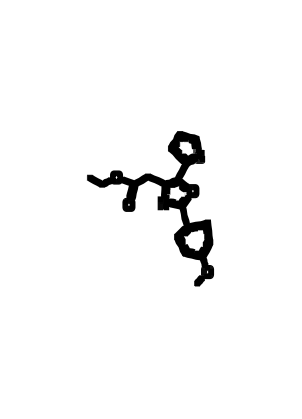 CCOC(=O)Cc1nc(-c2ccc(OC)cc2)oc1-c1cccs1